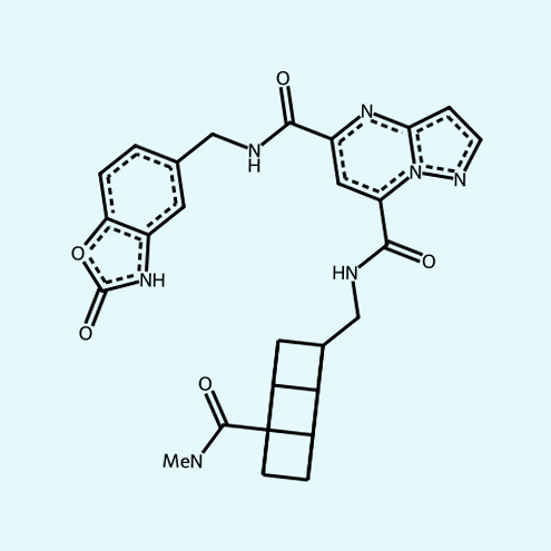 CNC(=O)C12C3C4C1C1C2C3C41CNC(=O)c1cc(C(=O)NCc2ccc3oc(=O)[nH]c3c2)nc2ccnn12